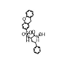 O=C(NO)C(CCc1ccccc1)NS(=O)(=O)c1ccc2c(c1)Cc1ccccc1O2